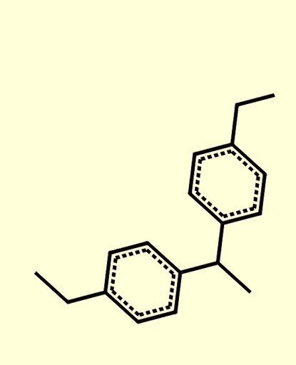 CCc1ccc(C(C)c2ccc(CC)cc2)cc1